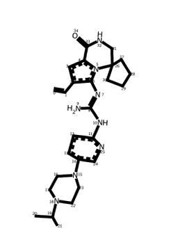 C=Cc1cc2n(c1/N=C(\N)Nc1ccc(N3CCN(C(C)C)CC3)cn1)C1(CCCC1)CNC2=O